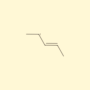 C[C]C=CC